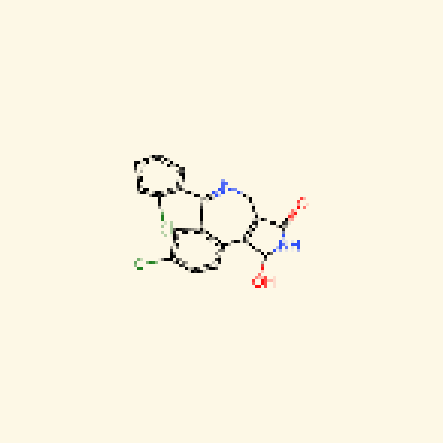 O=C1NC(O)C2=C1CN=C(c1ccccc1Cl)c1cc(Cl)ccc12